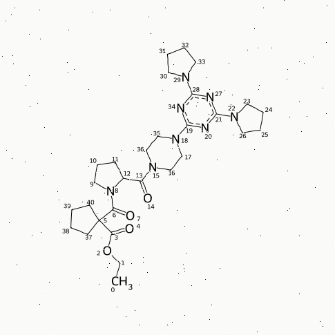 CCOC(=O)C1(C(=O)N2CCCC2C(=O)N2CCN(c3nc(N4CCCC4)nc(N4CCCC4)n3)CC2)CCCC1